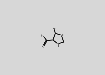 CCC(=O)C1NCNC1C(C)=O